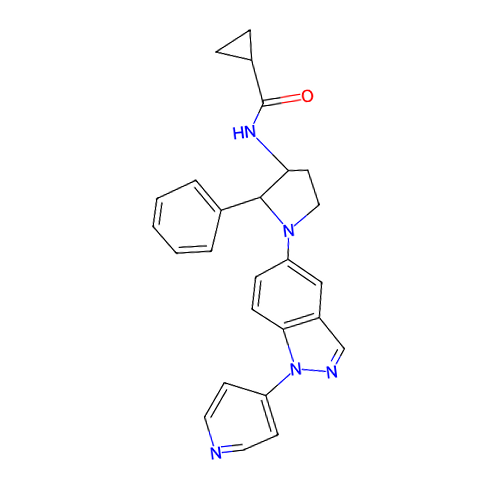 O=C(NC1CCN(c2ccc3c(cnn3-c3ccncc3)c2)C1c1ccccc1)C1CC1